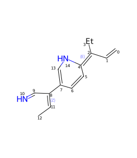 C=C/C(CC)=C1\C=CC(/C(C=N)=C/C)=CN1